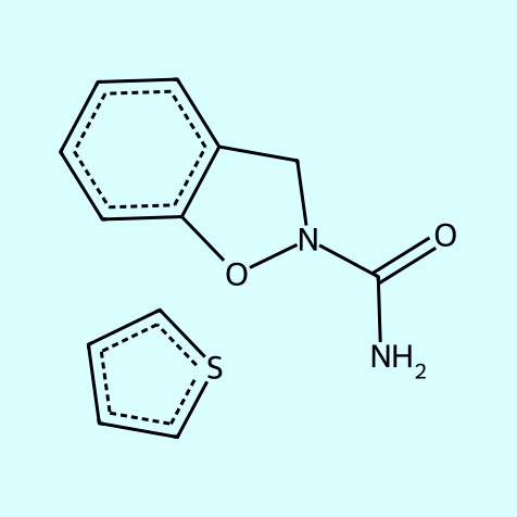 NC(=O)N1Cc2ccccc2O1.c1ccsc1